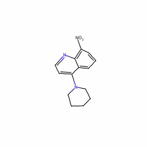 O=[N+]([O-])c1cccc2c(N3CCCCC3)ccnc12